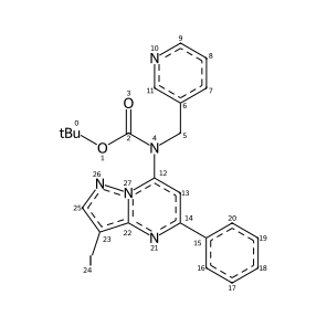 CC(C)(C)OC(=O)N(Cc1cccnc1)c1cc(-c2ccccc2)nc2c(I)cnn12